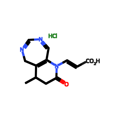 CC1CC(=O)N(/C=C/C(=O)O)C2=C1CN=CN=C2.Cl